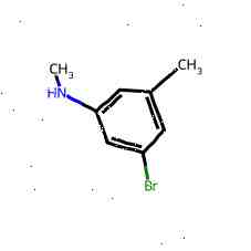 CNc1cc(C)cc(Br)c1